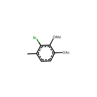 COc1c(OC(C)=O)ccc(C)c1Br